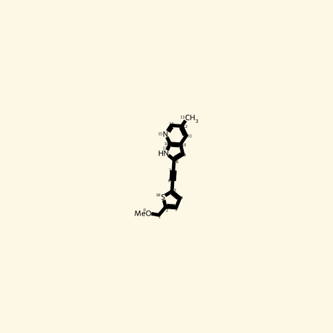 COCc1ccc(C#Cc2cc3cc(C)cnc3[nH]2)s1